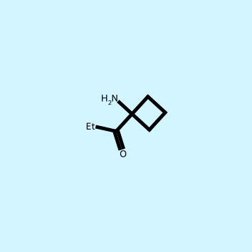 CCC(=O)C1(N)CCC1